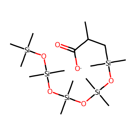 CC(C[Si](C)(C)O[Si](C)(C)O[Si](C)(C)O[Si](C)(C)O[Si](C)(C)C)C([O])=O